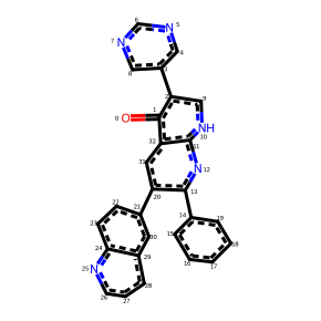 O=c1c(-c2cncnc2)c[nH]c2nc(-c3ccccc3)c(-c3ccc4ncccc4c3)cc12